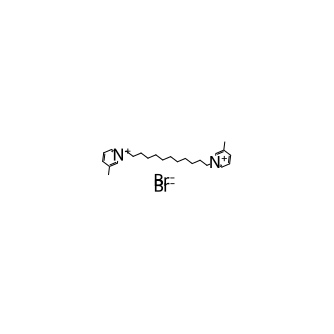 Cc1ccc[n+](CCCCCCCCCCCC[n+]2cccc(C)c2)c1.[Br-].[Br-]